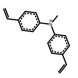 C=Cc1ccc([SiH](C)c2ccc(C=C)cc2)cc1